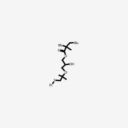 CCSCC(C)(C)OCC(O)COC(=O)C(C)(CC(C)(C)C)C(C)(C)C